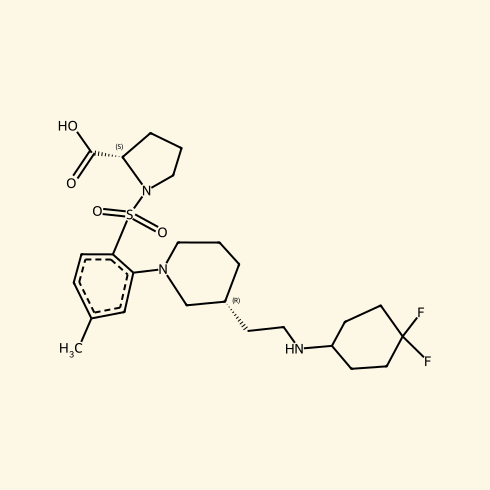 Cc1ccc(S(=O)(=O)N2CCC[C@H]2C(=O)O)c(N2CCC[C@H](CCNC3CCC(F)(F)CC3)C2)c1